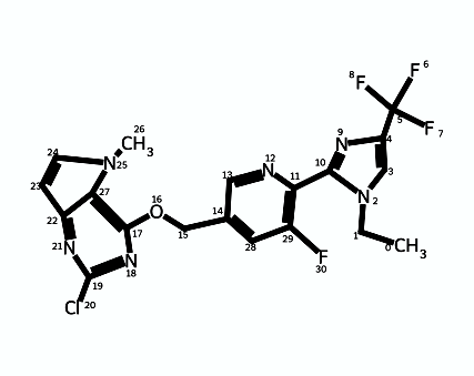 CCn1cc(C(F)(F)F)nc1-c1ncc(COc2nc(Cl)nc3ccn(C)c23)cc1F